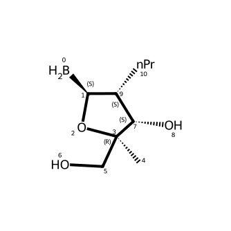 B[C@@H]1O[C@](C)(CO)[C@@H](O)[C@H]1CCC